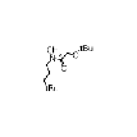 CN(CCCC(C)(C)C)C(=O)COC(C)(C)C